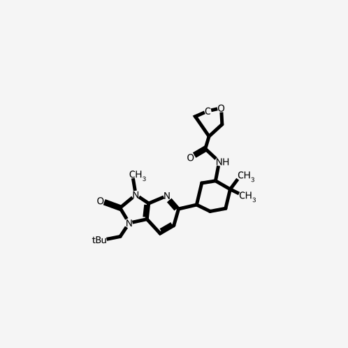 Cn1c(=O)n(CC(C)(C)C)c2ccc(C3CCC(C)(C)C(NC(=O)C4CCOC4)C3)nc21